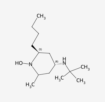 CCCC[C@H]1C[C@H](NC(C)(C)C)CC(C)N1O